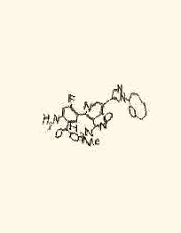 COC(=O)c1cc(-c2ncc(-c3cnn(C4CCCCCO4)c3)c3onc(N)c23)c(F)cc1N